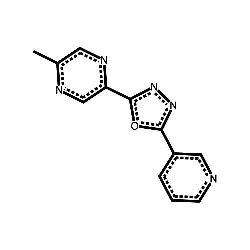 Cc1cnc(-c2nnc(-c3cccnc3)o2)cn1